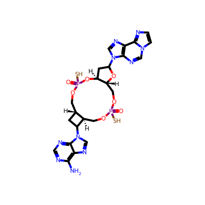 Nc1ncnc2c1ncn2C1C[C@@H]2COP(=O)(S)O[C@H]3CC(n4cnc5c4ncn4ccnc54)O[C@@H]3COP(=O)(S)OC[C@@H]12